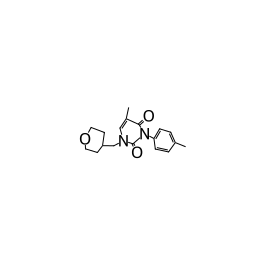 Cc1ccc(-n2c(=O)c(C)cn(CC3CCOCC3)c2=O)cc1